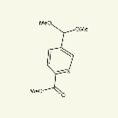 COC(=O)c1ccc(C(OC)OC)cn1